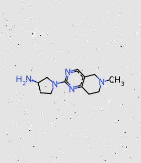 CN1CCc2nc(N3CC[C@@H](N)C3)ncc2C1